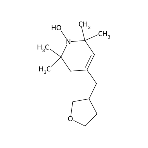 CC1(C)C=C(CC2CCOC2)CC(C)(C)N1O